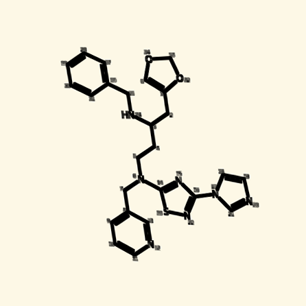 C1=C(CC(CCN(Cc2cccnc2)c2nc(-n3ccnc3)ns2)NCc2ccccc2)OCO1